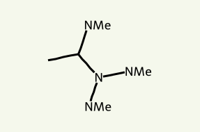 CNC(C)N(NC)NC